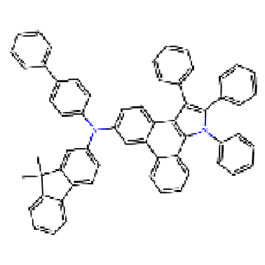 CC1(C)c2ccccc2-c2ccc(N(c3ccc(-c4ccccc4)cc3)c3ccc4c(c3)c3ccccc3c3c4c(-c4ccccc4)c(-c4ccccc4)n3-c3ccccc3)cc21